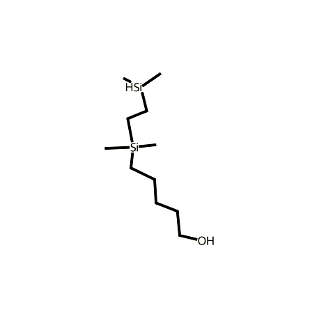 C[SiH](C)CC[Si](C)(C)CCCCCO